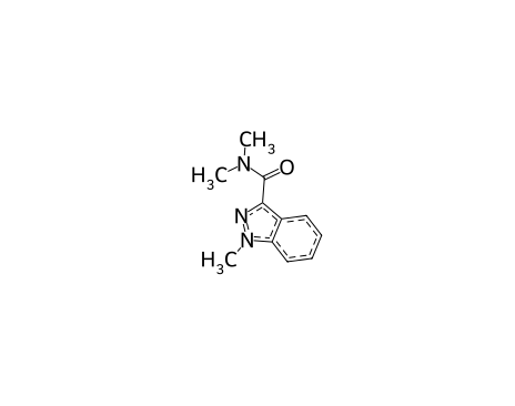 CN(C)C(=O)c1nn(C)c2ccccc12